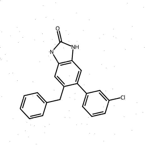 O=C1[N]c2cc(Cc3ccccc3)c(-c3cccc(Cl)c3)cc2N1